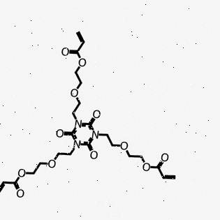 C=CC(=O)OCCOCCn1c(=O)n(CCOCCOC(=O)C=C)c(=O)n(CCOCCOC(=O)C=C)c1=O